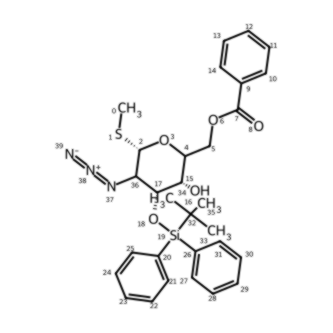 CS[C@@H]1OC(COC(=O)c2ccccc2)[C@H](O)[C@H](O[Si](c2ccccc2)(c2ccccc2)C(C)(C)C)C1N=[N+]=[N-]